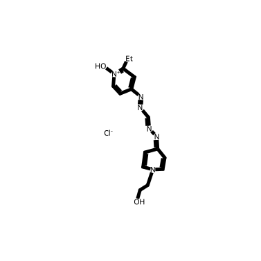 CCc1cc(N=NC=NN=c2ccn(CCO)cc2)cc[n+]1O.[Cl-]